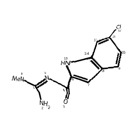 CNC(N)=NC(=O)c1cc2ccc(Cl)cc2[nH]1